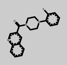 O=C(c1cnc2ccccc2c1)N1CCN(c2ccccc2F)CC1